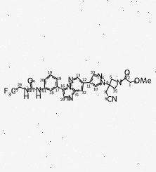 COCC(=O)N1CC(CC#N)(n2cc(-c3cnn4c(-c5cccc(NC(=O)NCC(F)(F)F)c5)cnc4c3)cn2)C1